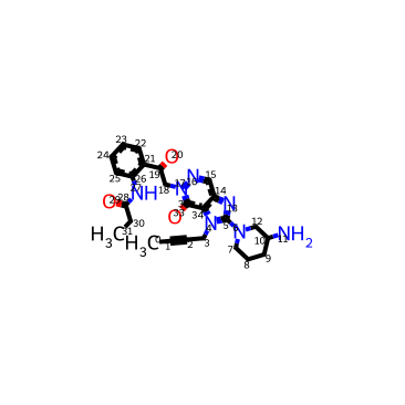 CC#CCn1c(N2CCCC(N)C2)nc2cnn(CC(=O)c3ccccc3NC(=O)CC)c(=O)c21